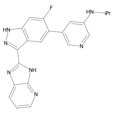 CC(C)Nc1cncc(-c2cc3c(-c4nc5cccnc5[nH]4)n[nH]c3cc2F)c1